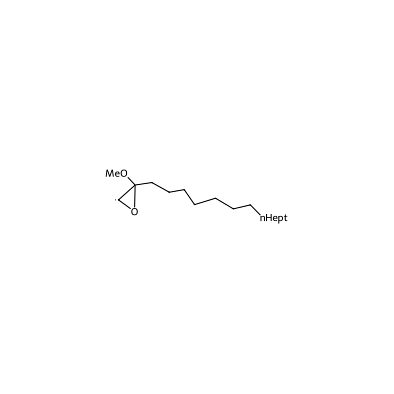 CCCCCCCCCCCCCCC1(OC)[CH]O1